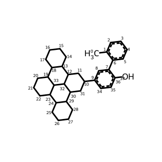 Cc1ccccc1-c1cc(C2CC3C4CCCCC4C4CCCC5C6CCCCC6C(C2)C3C45)ccc1O